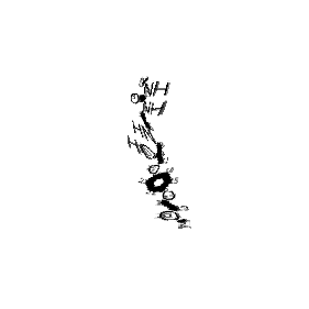 CNC(=O)NCCNCC(O)COc1ccc(OCCOC)cc1